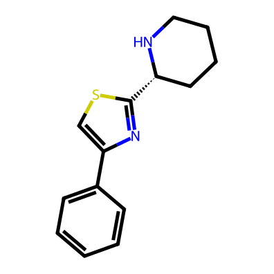 c1ccc(-c2csc([C@H]3CCCCN3)n2)cc1